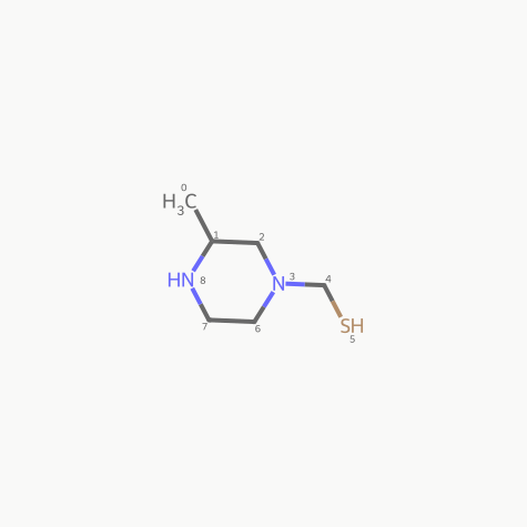 CC1CN(CS)CCN1